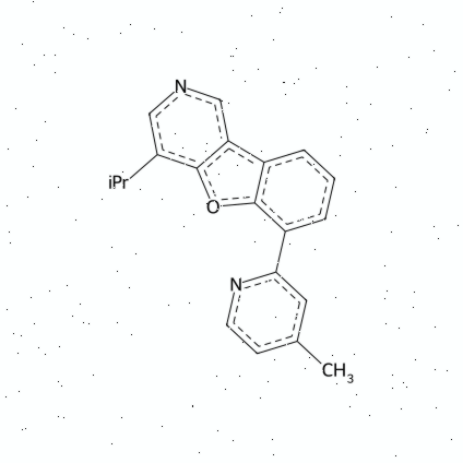 Cc1ccnc(-c2cccc3c2oc2c(C(C)C)cncc23)c1